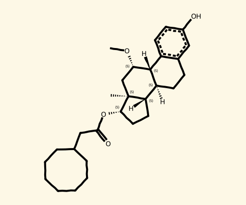 CO[C@H]1C[C@]2(C)[C@@H](OC(=O)CC3CCCCCCC3)CC[C@H]2[C@@H]2CCc3cc(O)ccc3[C@H]21